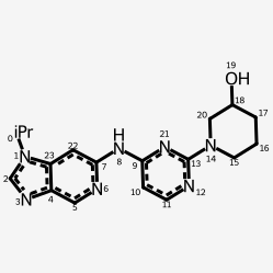 CC(C)n1cnc2cnc(Nc3ccnc(N4CCCC(O)C4)n3)cc21